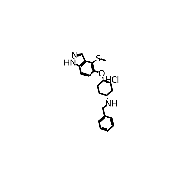 CSc1c(O[C@H]2CC[C@@H](NCc3ccccc3)CC2)ccc2[nH]ncc12.Cl